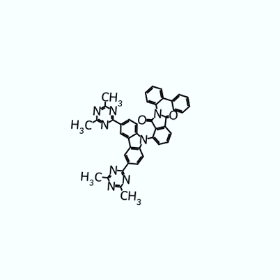 Cc1nc(C)nc(-c2ccc3c(c2)c2cc(-c4nc(C)nc(C)n4)ccc2n3-c2cccc3c2C(=O)N(c2ccccc2-c2ccccc2)C3=O)n1